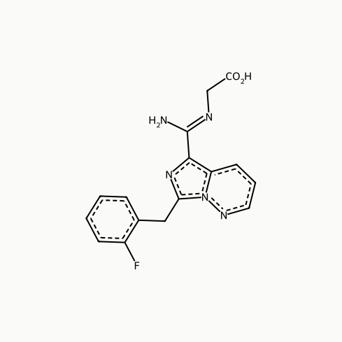 NC(=NCC(=O)O)c1nc(Cc2ccccc2F)n2ncccc12